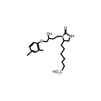 Cc1ccc(OCC(O)CCN2C(=O)NCC2CCCCCCC(=O)O)c(C)c1